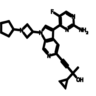 CC(O)(C#Cc1cc2c(-c3nc(N)ncc3F)cn(C3CN(C4CCCC4)C3)c2cn1)C1CC1